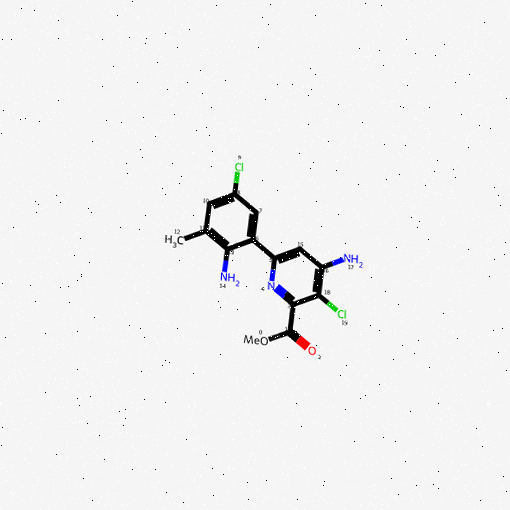 COC(=O)c1nc(-c2cc(Cl)cc(C)c2N)cc(N)c1Cl